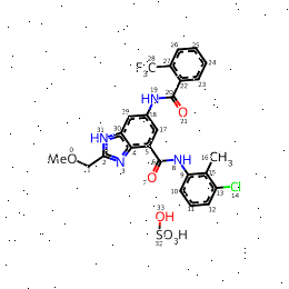 COCc1nc2c(C(=O)Nc3cccc(Cl)c3C)cc(NC(=O)c3ccccc3C(F)(F)F)cc2[nH]1.O=S(=O)(O)O